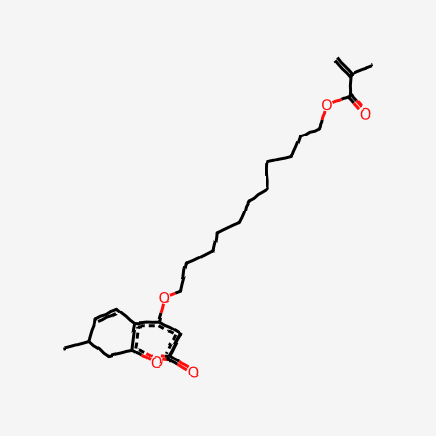 C=C(C)C(=O)OCCCCCCCCCCCOc1cc(=O)oc2c1C=CC(C)C2